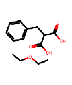 CCOCC.O=C(O)C(Cc1ccccc1)C(=O)O